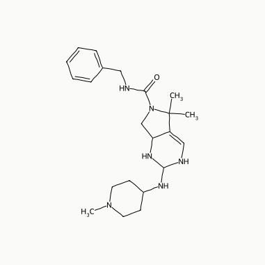 CN1CCC(NC2NC=C3C(CN(C(=O)NCc4ccccc4)C3(C)C)N2)CC1